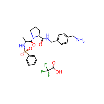 CC(NS(=O)(=O)c1ccccc1)C(=O)N1CCCC1C(=O)NCc1ccc(CN)cc1.O=C(O)C(F)(F)F